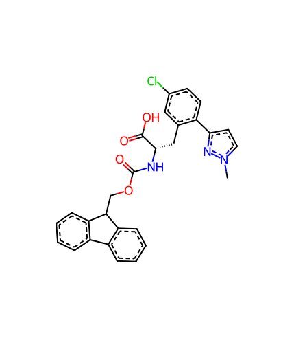 Cn1ccc(-c2ccc(Cl)cc2C[C@H](NC(=O)OCC2c3ccccc3-c3ccccc32)C(=O)O)n1